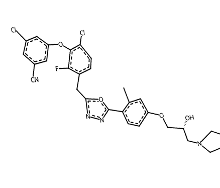 Cc1cc(OC[C@H](O)CN2CCCC2)ccc1-c1nnc(Cc2ccc(Cl)c(Oc3cc(Cl)cc(C#N)c3)c2F)o1